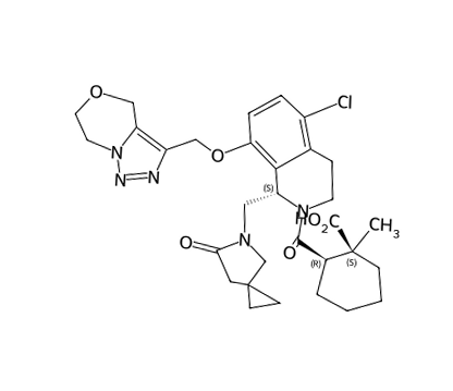 C[C@]1(C(=O)O)CCCC[C@H]1C(=O)N1CCc2c(Cl)ccc(OCc3nnn4c3COCC4)c2[C@H]1CN1CC2(CC2)CC1=O